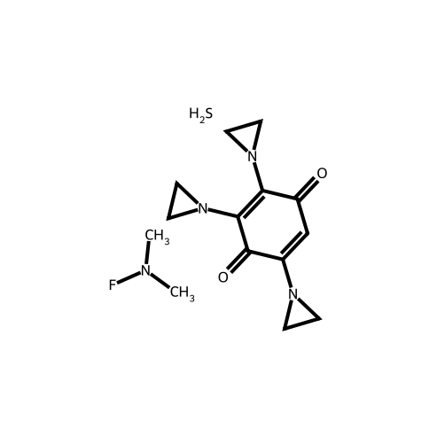 CN(C)F.O=C1C=C(N2CC2)C(=O)C(N2CC2)=C1N1CC1.S